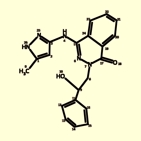 Cc1cc(Nc2nn(CC(O)c3ccccc3)c(=O)c3ccccc23)n[nH]1